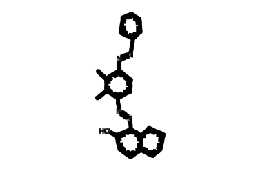 Cc1c(N=Nc2ccccc2)ccc(N=Nc2c(O)ccc3ccccc23)c1C